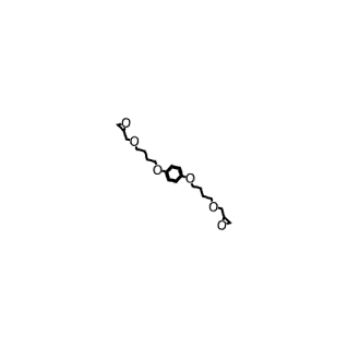 c1cc(OCCCCOCC2CO2)ccc1OCCCCOCC1CO1